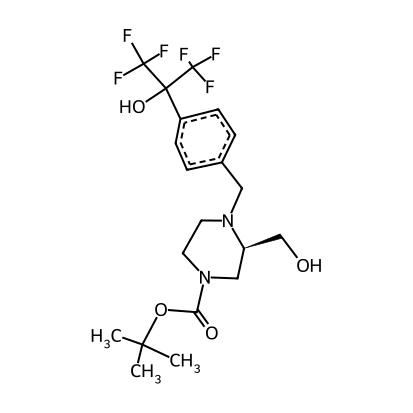 CC(C)(C)OC(=O)N1CCN(Cc2ccc(C(O)(C(F)(F)F)C(F)(F)F)cc2)[C@@H](CO)C1